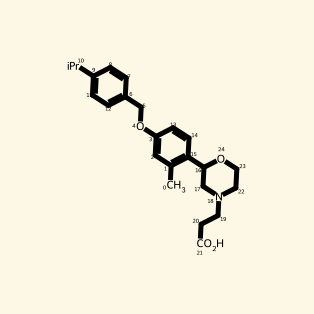 Cc1cc(OCc2ccc(C(C)C)cc2)ccc1C1CN(CCC(=O)O)CCO1